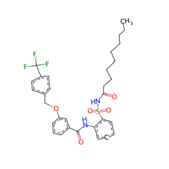 CCCCCCCCCC(=O)NS(=O)(=O)c1ccccc1NC(=O)c1cccc(OCc2ccc(C(F)(F)F)cc2)c1